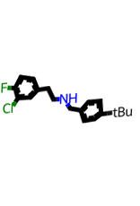 CC(C)(C)c1ccc(CNCCc2ccc(F)c(Cl)c2)cc1